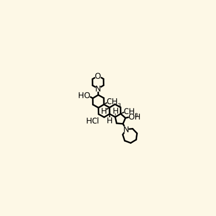 C[C@]12CC(N3CCOCC3)C(O)CC1CC[C@@H]1[C@H]2CC[C@]2(C)C(O)C(N3CCCCCC3)C[C@@H]12.Cl